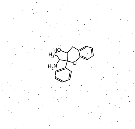 CC(N)C1(c2ccccc2)Oc2ccccc2CC1O